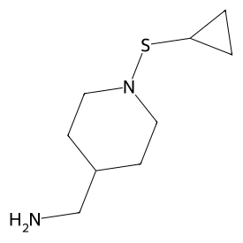 NCC1CCN(SC2CC2)CC1